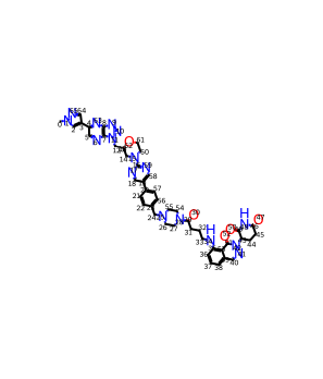 Cn1cc(-c2cnc3c(nnn3C[C@@H]3CN(c4ncc(-c5ccc(CN6CCN(C(=O)CCCNc7cccc8cnn(C9CCC(=O)NC9=O)c(=O)c78)CC6)cc5)cn4)CCO3)n2)cn1